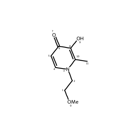 COCCn1ccc(=O)c(O)c1C